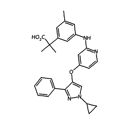 Cc1cc(Nc2cc(Oc3cn(C4CC4)nc3-c3ccccc3)ccn2)cc(C(C)(C)C(=O)O)c1